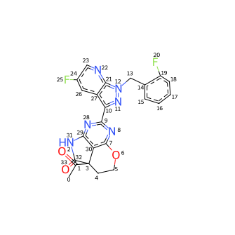 CC(=O)C12CCOc3nc(-c4nn(Cc5ccccc5F)c5ncc(F)cc45)nc(c31)NC2=O